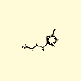 Cc1cc(NCCN)no1